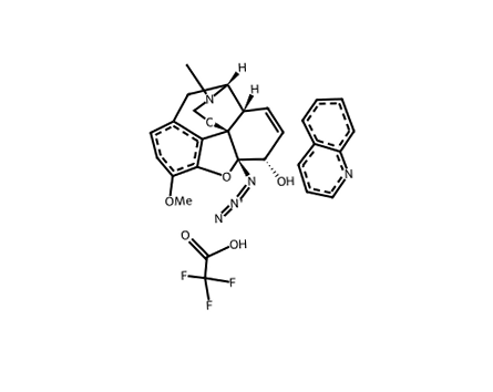 COc1ccc2c3c1O[C@@]1(N=[N+]=[N-])[C@@H](O)C=C[C@H]4[C@@H](C2)N(C)CC[C@@]341.O=C(O)C(F)(F)F.c1ccc2ncccc2c1